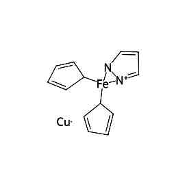 C1=C[CH]([Fe]2([CH]3C=CC=C3)[n]3ccc[n+]32)C=C1.[Cu]